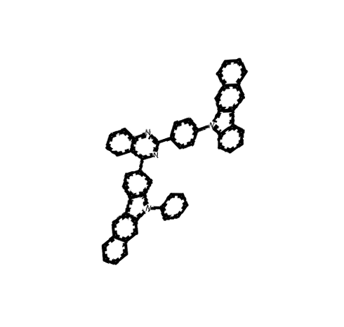 c1ccc(-n2c3cc(-c4nc(-c5ccc(-n6c7ccccc7c7cc8ccccc8cc76)cc5)nc5ccccc45)ccc3c3cc4ccccc4cc32)cc1